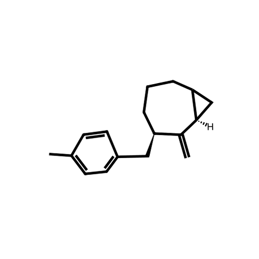 C=C1[C@@H](Cc2ccc(C)cc2)CCCC2C[C@@H]12